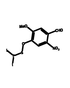 COc1cc(C=O)c([N+](=O)[O-])cc1OSP(I)I